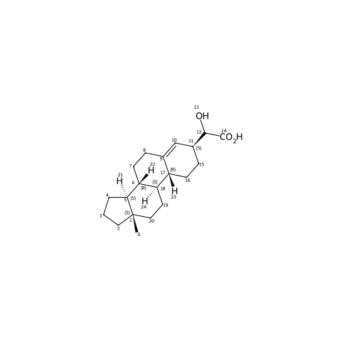 C[C@@]12CCC[C@H]1[C@@H]1CCC3=C[C@@H](C(O)C(=O)O)CC[C@@H]3[C@H]1CC2